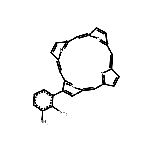 Nc1cccc(C2=CC3=CC4=NC(=CC5=NC(=CC6=NC(=CC2=N3)C=C6)C=C5)C=C4)c1N